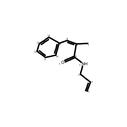 C=CCNC(=O)C(C)=Cc1ccccc1